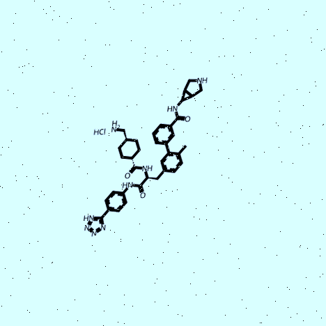 Cc1ccc(C[C@H](NC(=O)[C@H]2CC[C@H](CN)CC2)C(=O)Nc2ccc(-c3nnn[nH]3)cc2)cc1-c1cccc(C(=O)NC2C3CNCC32)c1.Cl